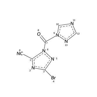 N#Cc1nc(Br)nn1C(=O)n1cncn1